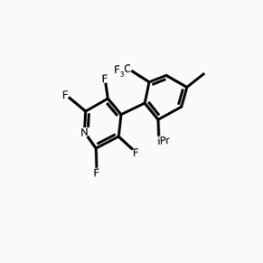 Cc1cc(C(C)C)c(-c2c(F)c(F)nc(F)c2F)c(C(F)(F)F)c1